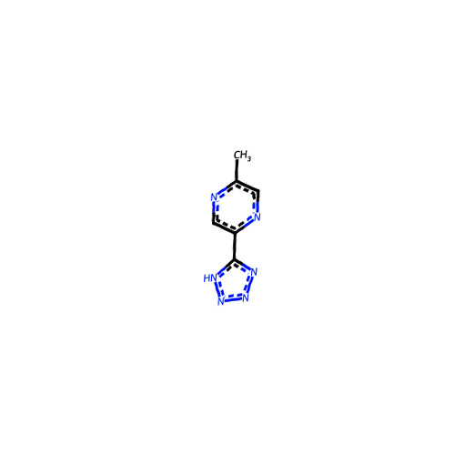 Cc1cnc(-c2nnn[nH]2)cn1